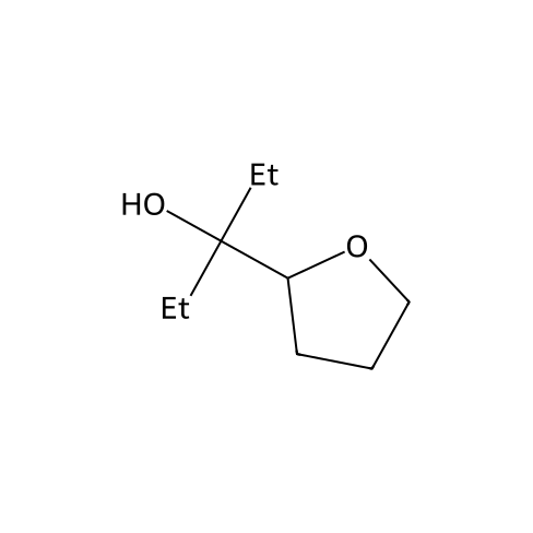 CCC(O)(CC)C1CCCO1